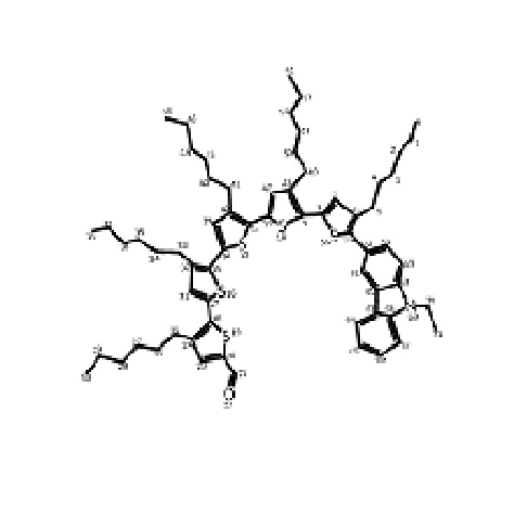 CCCCCCc1cc(-c2sc(-c3sc(-c4sc(-c5sc(C=O)cc5CCCCCC)cc4CCCCCC)cc3CCCCCC)cc2CCCCCC)sc1-c1ccc2c(c1)c1ccccc1n2CC